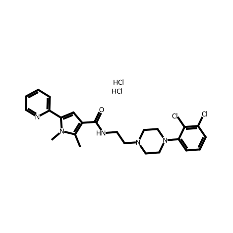 Cc1c(C(=O)NCCN2CCN(c3cccc(Cl)c3Cl)CC2)cc(-c2ccccn2)n1C.Cl.Cl